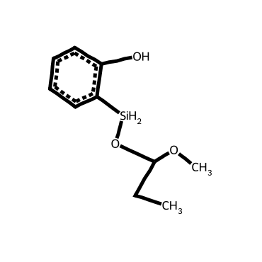 CCC(OC)O[SiH2]c1ccccc1O